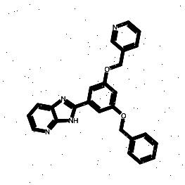 c1ccc(COc2cc(OCc3cccnc3)cc(-c3nc4cccnc4[nH]3)c2)cc1